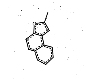 Cc1cc2c(ccc3ccccc32)o1